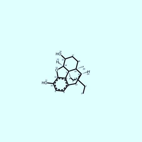 CCN1CC[C@]23c4c5ccc(O)c4O[C@H]2C(O)CC[C@@]3(C)[C@H]1C5